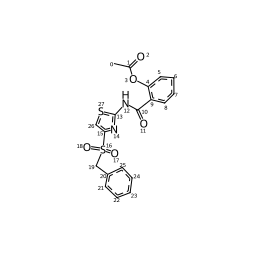 CC(=O)Oc1ccccc1C(=O)Nc1nc(S(=O)(=O)Cc2ccccc2)cs1